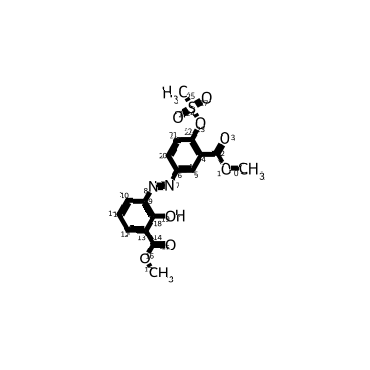 COC(=O)c1cc(N=Nc2cccc(C(=O)OC)c2O)ccc1OS(C)(=O)=O